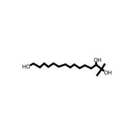 CC(C)(O)C(O)CCCCCCCCCCCCO